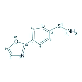 NSc1ccc(-c2ncco2)cc1